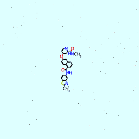 CNC(=O)c1cc(Oc2ccc3c(C(=O)Nc4ccc5sc(C)nc5c4)cccc3c2)ccn1